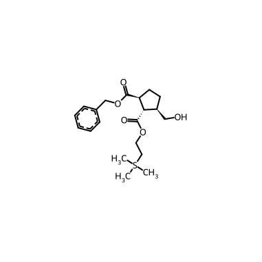 CS(C)(C)CCOC(=O)[C@H]1[C@H](CO)CC[C@@H]1C(=O)OCc1ccccc1